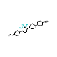 CCCC1CCC(C2=CC=C(C3CCC(C4CCC(CCC)CC4)CC3)C(F)(F)C2(F)F)CC1